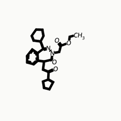 CCOC(=O)CN1N=C(C2CCCCC2)c2ccccc2C(CC(=O)C2CCCC2)C1=O